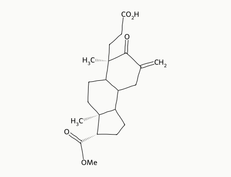 C=C1CC2C(CC[C@@]3(C)C2CC[C@@H]3C(=O)OC)[C@@](C)(CCC(=O)O)C1=O